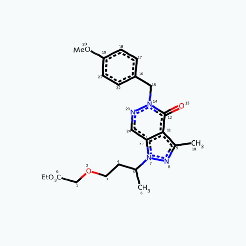 CCOC(=O)COCCC(C)n1nc(C)c2c(=O)n(Cc3ccc(OC)cc3)ncc21